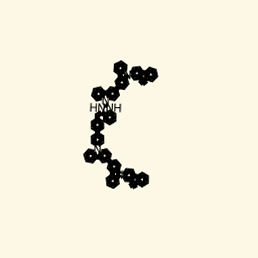 CC1(C)c2ccccc2-c2ccc(-n3c4ccccc4c4cc(-c5ccc6c(c5)c5ccccc5n6C(=N)NC(Cc5ccc(-c6ccc(-n7c8ccccc8c8cc(-c9ccc%10c(c9)c9ccccc9n%10-c9ccc%10c(c9)C(C)(C)c9ccccc9-%10)ccc87)cc6)cc5)c5ccccc5)ccc43)cc21